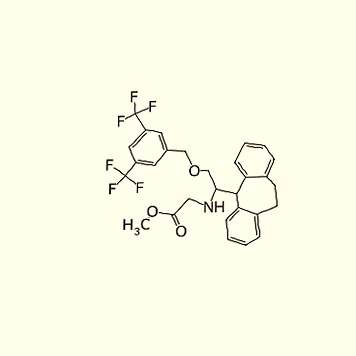 COC(=O)CNC(COCc1cc(C(F)(F)F)cc(C(F)(F)F)c1)C1c2ccccc2CCc2ccccc21